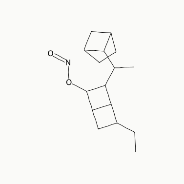 CCC1CC2C(ON=O)C(C(C)C3C4CCC3C4)C12